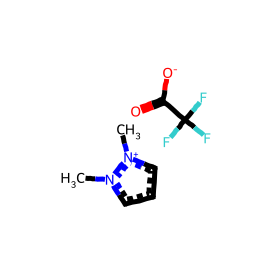 Cn1ccc[n+]1C.O=C([O-])C(F)(F)F